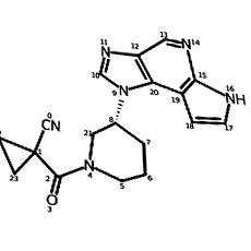 N#CC1(C(=O)N2CCC[C@@H](n3cnc4cnc5[nH]ccc5c43)C2)CC1